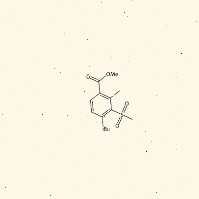 CCC(C)c1ccc(C(=O)OC)c(C)c1S(C)(=O)=O